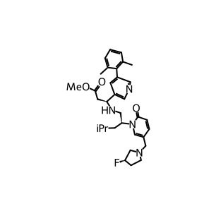 COC(=O)C[C@H](NC[C@H](CC(C)C)n1cc(CN2CC[C@@H](F)C2)ccc1=O)c1cncc(-c2c(C)cccc2C)c1